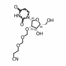 N#CCCOCOCO[C@H]1[C@@H](O)[C@@H](CO)O[C@H]1n1ccc(=O)[nH]c1=O